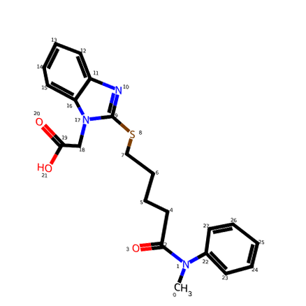 CN(C(=O)CCCCSc1nc2ccccc2n1CC(=O)O)c1ccccc1